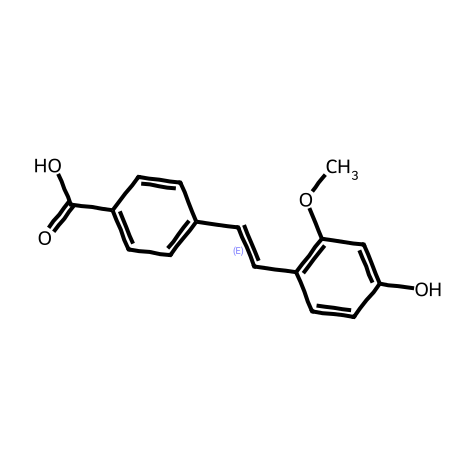 COc1cc(O)ccc1/C=C/c1ccc(C(=O)O)cc1